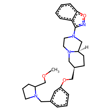 COCC1CCCN1Cc1cccc(OC[C@@H]2CC[C@@H]3CN(c4noc5ccccc45)CCN3C2)c1